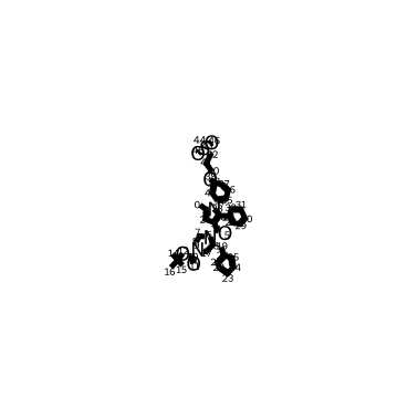 Cc1cc(C(=O)N2CCN(C(=O)OC(C)(C)C)C[C@H]2Cc2ccccc2)c(-c2ccccc2)n1-c1cccc(OCCCS(C)(=O)=O)c1